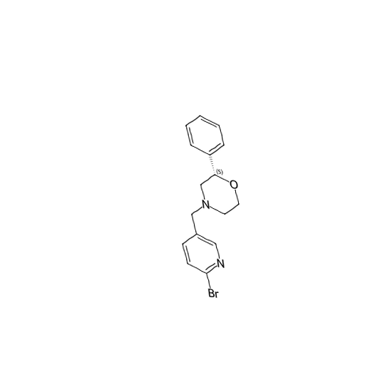 Brc1ccc(CN2CCO[C@@H](c3ccccc3)C2)cn1